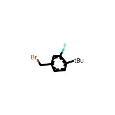 CC(C)(C)c1ccc(CBr)cc1F